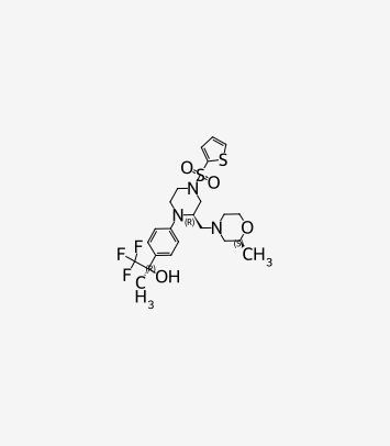 C[C@H]1CN(C[C@@H]2CN(S(=O)(=O)c3cccs3)CCN2c2ccc([C@@](C)(O)C(F)(F)F)cc2)CCO1